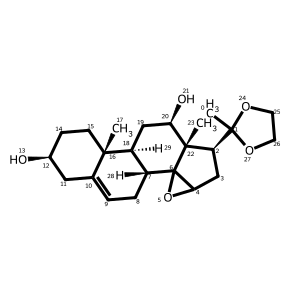 CC1([C@H]2CC3OC34[C@@H]3CC=C5C[C@@H](O)CC[C@]5(C)[C@H]3C[C@@H](O)[C@]24C)OCCO1